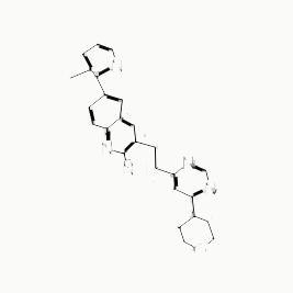 Cc1cccnc1-c1ccc2nc(N)c(CCc3cc(C4CCOCC4)ncn3)cc2c1